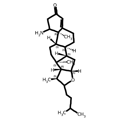 CC(C)CCC1O[C@H]2C[C@H]3[C@@H]4CCC5=CC(=O)CC(N)[C@]5(C)[C@H]4CC[C@]3(C)[C@H]2[C@@H]1C